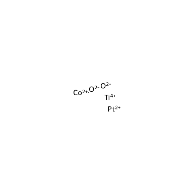 [Co+2].[O-2].[O-2].[Pt+2].[Ti+4]